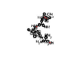 CC(C)c1nc(CN(C)C(=O)N[C@H](C(=O)N[C@@H](Cc2ccccc2)C[C@H](O)[C@H](Cc2ccccc2)NC(=O)OCc2cncs2)C(C)C)cs1.N=C1C=CC(=C(c2ccc(N)cc2)c2ccc(N)cc2)C=C1.N=C1C=CC(=C(c2ccc(N)cc2)c2ccc(N)cc2)C=C1.O.O.O=C(O)c1cc2ccccc2c(Cc2c(O)c(C(=O)O)cc3ccccc23)c1O